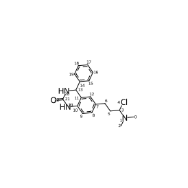 CN(C)C(Cl)CCc1ccc2c(c1)C(c1ccccc1)NC(=O)N2